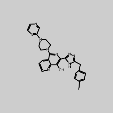 Oc1c(-c2nnc(Cc3ccc(F)cc3)[nH]2)nc(N2CCN(c3cnccn3)CC2)c2cccnc12